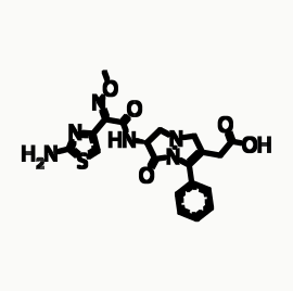 CO/N=C(\C(=O)N[C@H]1CN2CC(CC(=O)O)=C(c3ccccc3)N2C1=O)c1csc(N)n1